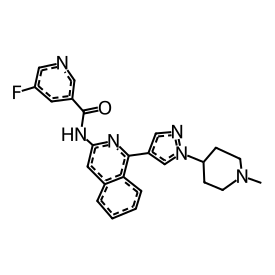 CN1CCC(n2cc(-c3nc(NC(=O)c4cncc(F)c4)cc4ccccc34)cn2)CC1